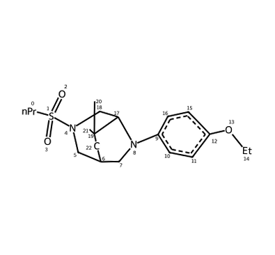 CCCS(=O)(=O)N1CC2CN(c3ccc(OCC)cc3)C(C1)C(C)(C)C2